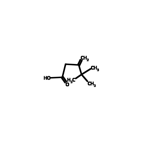 C=C(CC(=O)O)C(C)(C)C